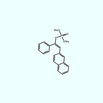 COP(=O)(OC)O/C(=C/c1ccc2ccccc2c1)c1ccccc1